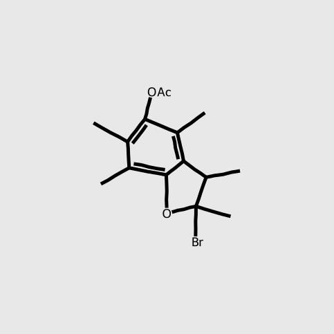 CC(=O)Oc1c(C)c(C)c2c(c1C)C(C)C(C)(Br)O2